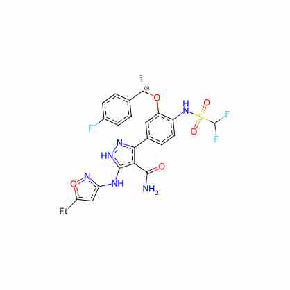 CCc1cc(Nc2[nH]nc(-c3ccc(NS(=O)(=O)C(F)F)c(O[C@@H](C)c4ccc(F)cc4)c3)c2C(N)=O)no1